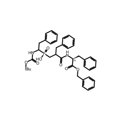 CC(C)(C)OC(=O)NC(Cc1ccccc1)P(=O)(O)CC(Cc1ccccc1)C(=O)N[C@@H](Cc1ccccc1)C(=O)OCc1ccccc1